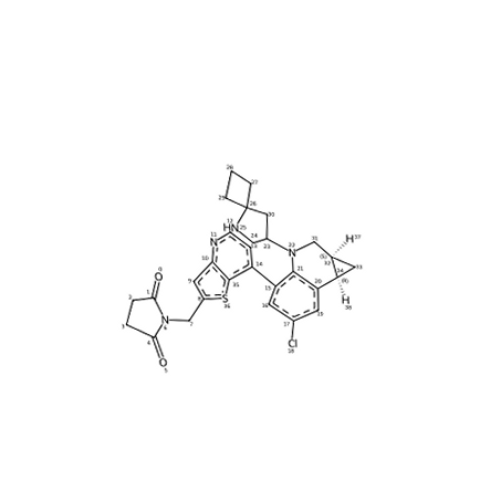 O=C1CCC(=O)N1Cc1cc2nccc(-c3cc(Cl)cc4c3N(C3CNC5(CCC5)C3)C[C@H]3C[C@@H]43)c2s1